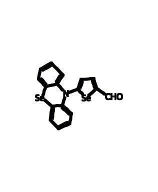 O=Cc1ccc(N2c3ccccc3[Se]c3ccccc32)[se]1